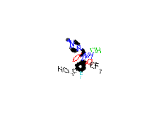 CN1CCN(CC(=O)Nc2cc(C(=O)O)c(F)cc2OC(F)(F)F)CC1.Cl